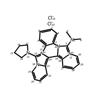 CN(C)c1n2c3ccccc3[n+]3c(N4CCCC4)n4ccccc4c3c2c2cccc[n+]12.[Cl-].[Cl-]